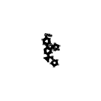 COc1ccc(-c2ccc(C3(CN4CCCC4)CC3)cc2C2(C(F)(F)F)CCN=N2)cc1